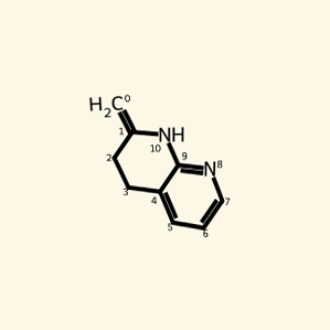 C=C1CCc2cccnc2N1